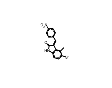 Cc1c(Br)ccc2c1C(=Cc1ccc([N+](=O)[O-])cc1)C(=O)N2